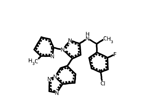 Cc1cccc(-n2nc(NC(C)c3ccc(Cl)cc3F)cc2-c2ccc3ncnn3c2)n1